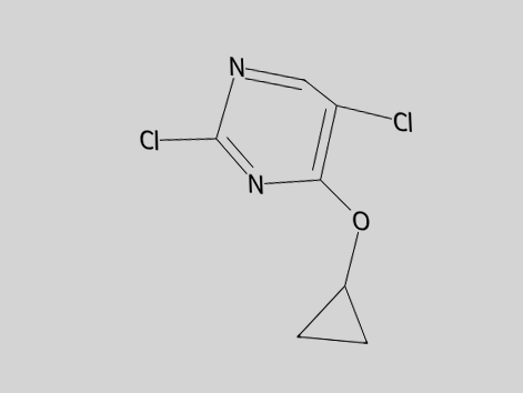 Clc1ncc(Cl)c(OC2CC2)n1